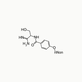 CCCCCCCCCOc1ccc(C(=O)NC(CO)C(=N)N)cc1